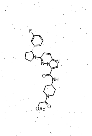 CC(=O)OCC(=O)N1CCC(NC(=O)c2cnc3ccc(N4CCC[C@@H]4c4cccc(F)c4)nn23)CC1